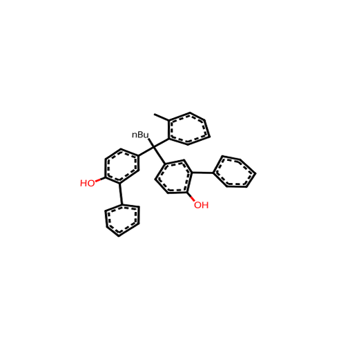 CCCCC(c1ccc(O)c(-c2ccccc2)c1)(c1ccc(O)c(-c2ccccc2)c1)c1ccccc1C